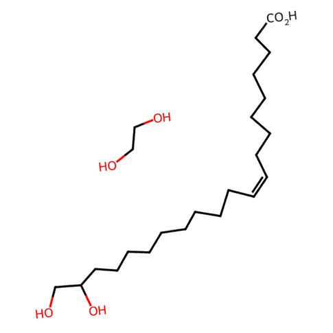 O=C(O)CCCCCCC/C=C\CCCCCCCCCC(O)CO.OCCO